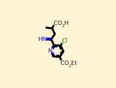 CCOC(=O)c1cnc(C(=N)CC(C)C(=O)O)c(Cl)c1